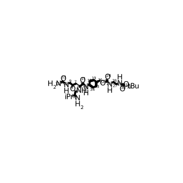 CC(C)[C@H](N)C(=O)N[C@@H](CCCNC(N)=O)C(=O)Nc1ccc(COC(=O)NCCNC(=O)OC(C)(C)C)cc1